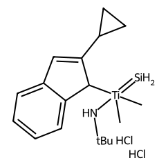 CC(C)(C)[NH][Ti]([CH3])([CH3])(=[SiH2])[CH]1C(C2CC2)=Cc2ccccc21.Cl.Cl